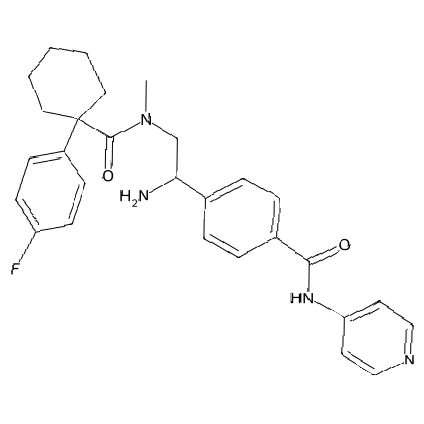 CN(CC(N)c1ccc(C(=O)Nc2ccncc2)cc1)C(=O)C1(c2ccc(F)cc2)CCCCC1